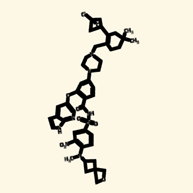 CN(c1ccc(S(=O)(=O)NC(=O)c2ccc(N3CCN(CC4=C(C56CC(Cl)(C5)C6)CC(C)(C)CC4)CC3)cc2Oc2cnc3[nH]ccc3c2)cc1[N+](=O)[O-])C1CC2(COC2)C1